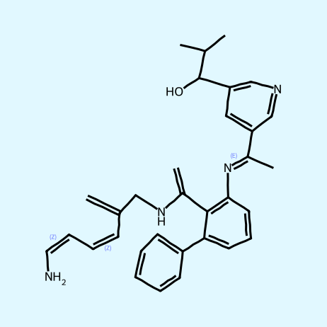 C=C(/C=C\C=C/N)CNC(=C)c1c(/N=C(\C)c2cncc(C(O)C(C)C)c2)cccc1-c1ccccc1